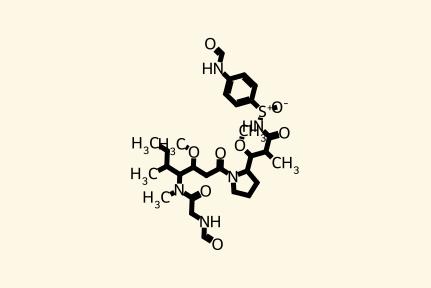 CCC(C)C(C(CC(=O)N1CCCC1C(OC)C(C)C(=O)N[S+]([O-])c1ccc(NC=O)cc1)OC)N(C)C(=O)CNC=O